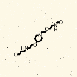 O=CCCNCCOC1CCN(CCOCCNC=O)CC1